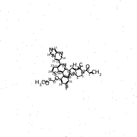 C=CC(=O)N1CCn2nc(-c3nc(-c4cnc5cncn5c4)c4ccsc4c3-c3c(F)cc(F)cc3OCCOC)cc2[C@H]1C